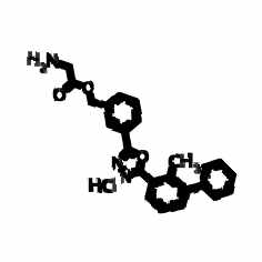 Cc1c(-c2ccccc2)cccc1-c1nnc(-c2cccc(COC(=O)CN)c2)o1.Cl